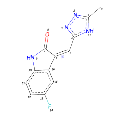 Cc1nnc(/C=C2\C(=O)Nc3ccc(F)cc32)[nH]1